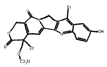 CCOC(=O)OC1(CC)C(=O)OCc2c1cc1n(c2=O)Cc2c-1nc1ccc(O)cc1c2CC